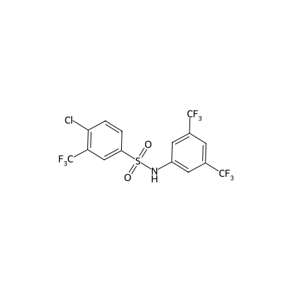 O=S(=O)(Nc1cc(C(F)(F)F)cc(C(F)(F)F)c1)c1ccc(Cl)c(C(F)(F)F)c1